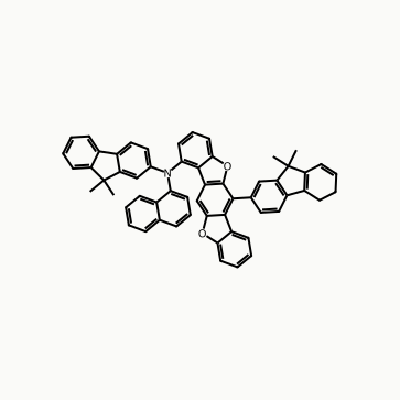 CC1(C)C2=C(CCC=C2)c2ccc(-c3c4oc5cccc(N(c6ccc7c(c6)C(C)(C)c6ccccc6-7)c6cccc7ccccc67)c5c4cc4oc5ccccc5c34)cc21